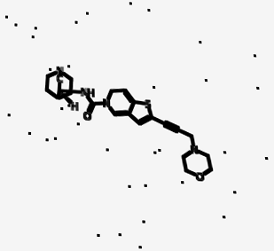 O=C(N[C@H]1CN2CCC1CC2)N1C=c2cc(C#CCN3CCOCC3)sc2=CC1